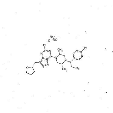 CC(C)CC(c1ccc(Cl)cc1)N1C[C@H](C)N(c2nc(Cl)nc3c2nnn3C[C@@H]2CCCO2)C[C@H]1C.O=N[O-].[Na+]